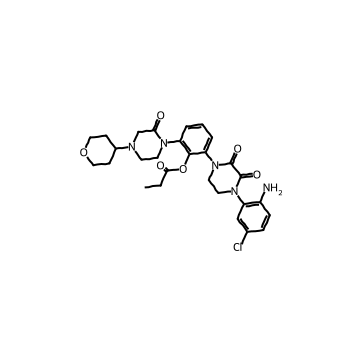 CCC(=O)Oc1c(N2CCN(C3CCOCC3)CC2=O)cccc1N1CCN(c2cc(Cl)ccc2N)C(=O)C1=O